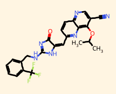 CC(C)Oc1c(C#N)cnc2ccc(C=C3NC(NCc4ccccc4C(F)(F)F)=NC3=O)nc12